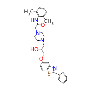 Cc1cccc(C)c1NC(=O)CN1CCN(C[C@@H](O)COc2ccc3sc(-c4ccccc4)nc3c2)CC1